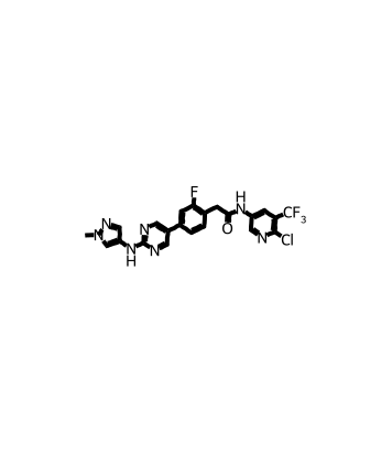 Cn1cc(Nc2ncc(-c3ccc(CC(=O)Nc4cnc(Cl)c(C(F)(F)F)c4)c(F)c3)cn2)cn1